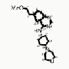 COCCc1ccc2ncnc(N[C@H]3CC[C@H](N4CCOCC4)CC3)c2c1